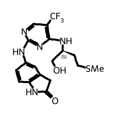 CSCC[C@@H](CO)Nc1nc(Nc2ccc3c(c2)CC(=O)N3)ncc1C(F)(F)F